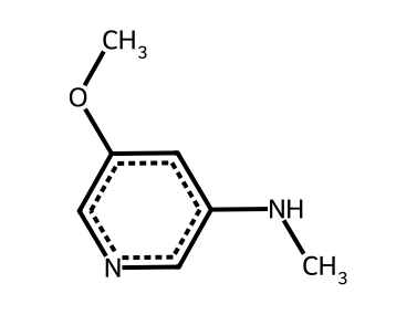 CNc1cncc(OC)c1